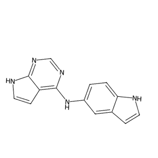 c1nc(Nc2ccc3[nH]ccc3c2)c2cc[nH]c2n1